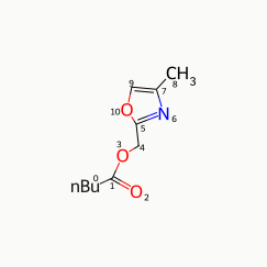 CCCCC(=O)OCc1nc(C)co1